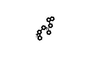 c1ccc(N(c2cccc(-c3ccc4sc5ccccc5c4c3)c2)c2cccc(-c3cccc4ccccc34)c2)cc1